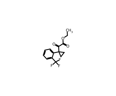 CCOC(=O)C(=O)C1(c2ccccc2C(F)(F)F)CC1